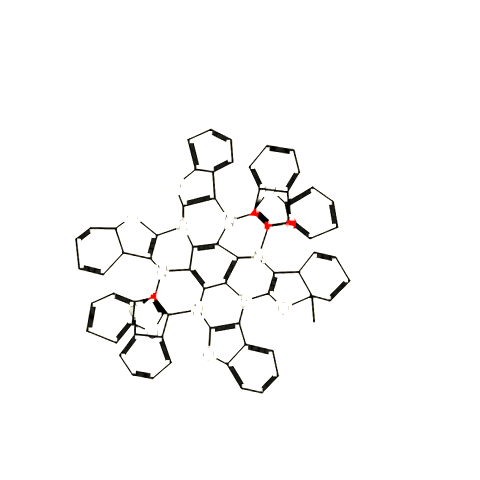 CC12C=CC=CC1C1=C(O2)B2c3c(c4c5c(c3N(c3coc6ccccc36)c3oc6ccccc6c32)N(c2coc3ccccc23)C2=C(OC3C=CC=CC23)B5c2oc3ccccc3c2N4c2coc3ccccc23)N1c1coc2ccccc12